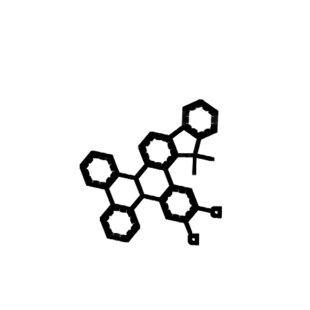 CC1(C)c2ccccc2-c2ccc3c(c21)-c1cc(Cl)c(Cl)cc1C1c2ccccc2-c2ccccc2C31